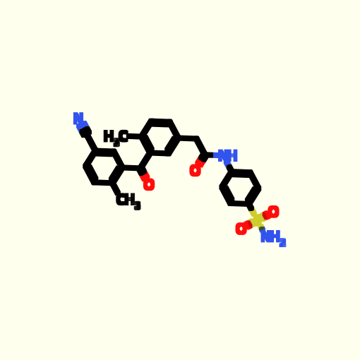 Cc1ccc(C#N)cc1C(=O)c1cc(CC(=O)Nc2ccc(S(N)(=O)=O)cc2)ccc1C